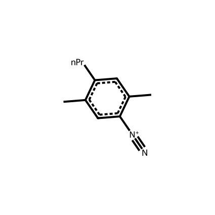 CCCc1cc(C)c([N+]#N)cc1C